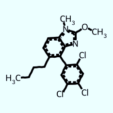 CCCCc1ccc2c(nc(OC)n2C)c1-c1cc(Cl)c(Cl)cc1Cl